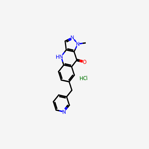 Cl.Cn1ncc2[nH]c3ccc(Cc4cccnc4)cc3c(=O)c21